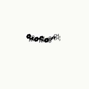 CN(C)CCS(=O)(=O)c1ccc(Nc2nccc(-c3ccc(NC(=O)Cc4ccccc4)cc3)n2)cc1